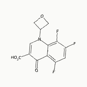 O=C(O)c1cn(C2COC2)c2c(F)c(F)cc(F)c2c1=O